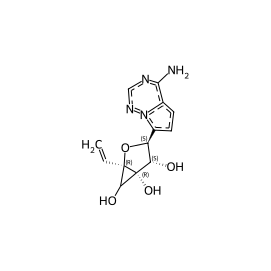 C=C[C@]12O[C@@H](c3ccc4c(N)ncnn34)[C@H](O)[C@@]1(O)C2O